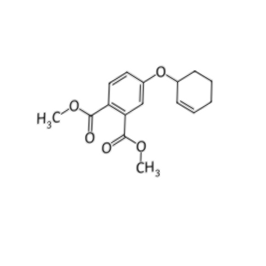 COC(=O)c1ccc(OC2C=CCCC2)cc1C(=O)OC